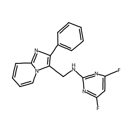 Fc1cc(F)nc(NCc2c(-c3ccccc3)nc3ccccn23)n1